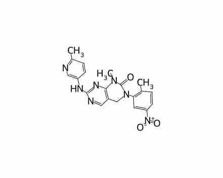 Cc1ccc(Nc2ncc3c(n2)N(C)C(=O)N(c2cc([N+](=O)[O-])ccc2C)C3)cn1